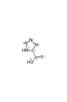 OC(=S)c1nnn[nH]1